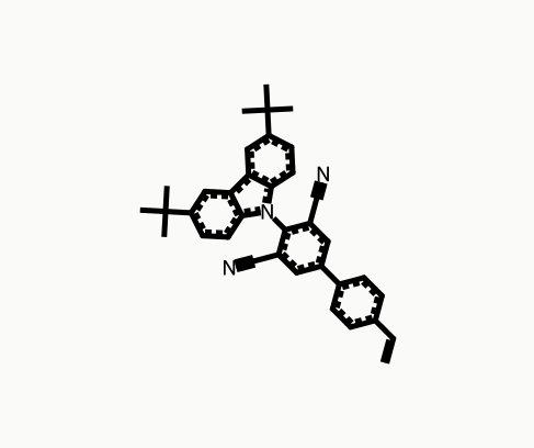 C=Cc1ccc(-c2cc(C#N)c(-n3c4ccc(C(C)(C)C)cc4c4cc(C(C)(C)C)ccc43)c(C#N)c2)cc1